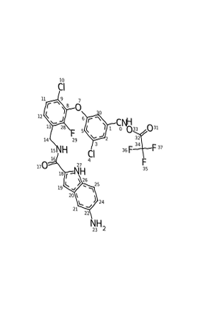 N#Cc1cc(Cl)cc(Oc2c(Cl)ccc(CNC(=O)c3cc4cc(N)ccc4[nH]3)c2F)c1.O=C(O)C(F)(F)F